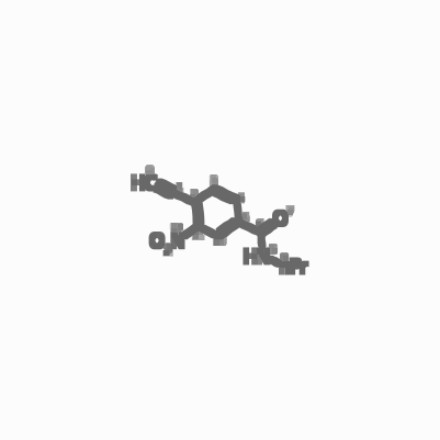 C#Cc1ccc(C(=O)NCCC)cc1[N+](=O)[O-]